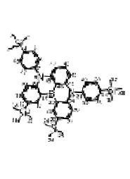 C[Si](C)(C)c1ccc(N2c3ccc([Si](C)(C)C)cc3B3c4cc([Si](C)(C)C)ccc4N(c4ccc([Si](C)(C)C)cc4)c4cccc2c43)cc1